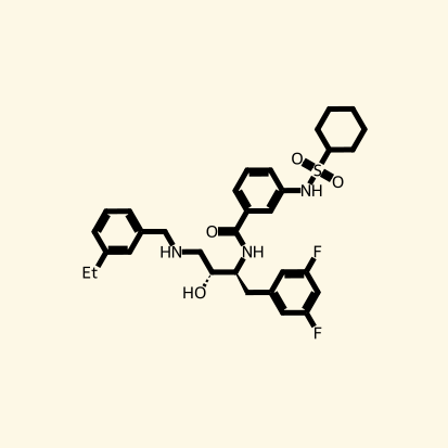 CCc1cccc(CNC[C@@H](O)[C@H](Cc2cc(F)cc(F)c2)NC(=O)c2cccc(NS(=O)(=O)C3CCCCC3)c2)c1